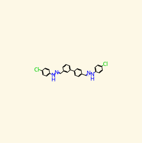 Clc1ccc(N/N=C/c2ccc(-c3cccc(/C=N/Nc4ccc(Cl)cc4)c3)cc2)cc1